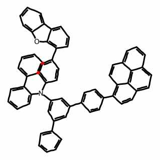 c1ccc(-c2cc(-c3ccc(-c4ccc5ccc6cccc7ccc4c5c67)cc3)cc(N(c3ccc(-c4cccc5c4oc4ccccc45)cc3)c3ccccc3-c3ccccc3)c2)cc1